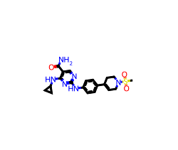 CS(=O)(=O)N1CC=C(c2ccc(Nc3ncc(C(N)=O)c(NC4CC4)n3)cc2)CC1